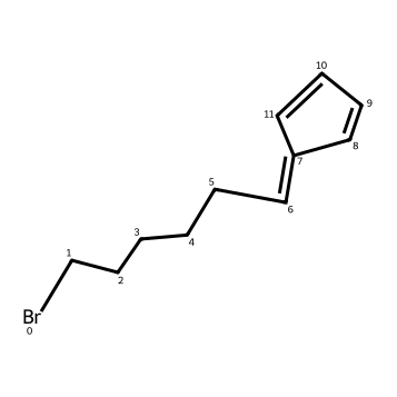 BrCCCCCC=C1C=CC=C1